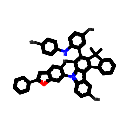 CC(C)(C)c1ccc(Nc2ccc(C(C)(C)C)cc2-c2c3c(c4c5cc(C(C)(C)C)ccc5n5c4c2Bc2cc4cc(-c6ccccc6)oc4cc2-5)-c2ccccc2C3(C)C)cc1